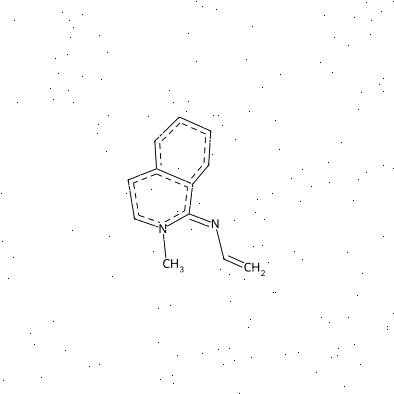 C=C/N=c1/c2ccccc2ccn1C